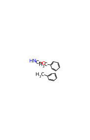 Cc1ccccc1.Cc1ccccc1.N=C=O